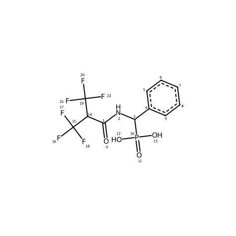 O=C(NC(c1ccccc1)P(=O)(O)O)C(C(F)(F)F)C(F)(F)F